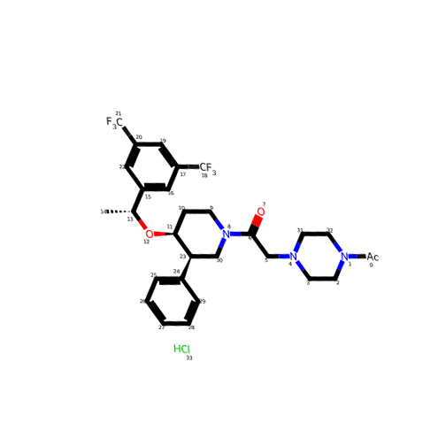 CC(=O)N1CCN(CC(=O)N2CC[C@H](O[C@H](C)c3cc(C(F)(F)F)cc(C(F)(F)F)c3)[C@H](c3ccccc3)C2)CC1.Cl